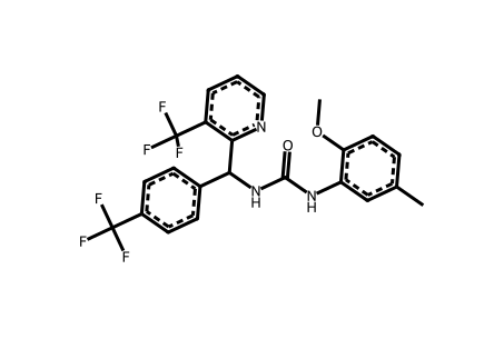 COc1ccc(C)cc1NC(=O)NC(c1ccc(C(F)(F)F)cc1)c1ncccc1C(F)(F)F